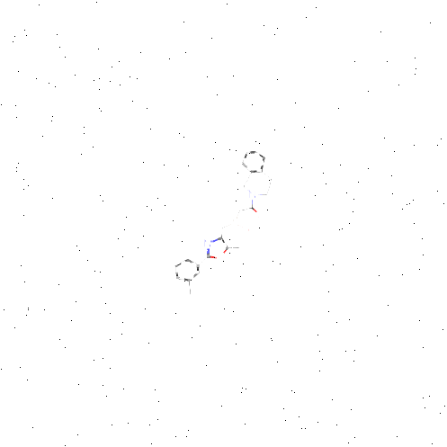 Cc1cccc(-c2nc(C[S+]([O-])CC(=O)N3CCc4ccccc4C3)c(C)o2)c1